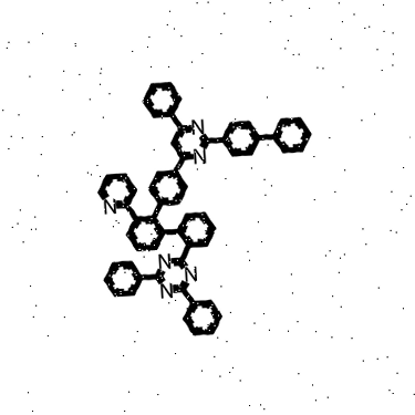 c1ccc(-c2ccc(-c3nc(-c4ccccc4)cc(-c4ccc(-c5c(-c6ccccn6)cccc5-c5ccccc5-c5nc(-c6ccccc6)nc(-c6ccccc6)n5)cc4)n3)cc2)cc1